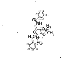 CN(C[C@]12COC(CNC(=O)c3ccccc3)=C1OC(C)(C)O2)C(=O)c1ccccc1